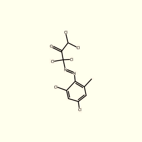 Cc1cc(Cl)cc(Cl)c1N=NC(Cl)(Cl)C(=O)C(Cl)Cl